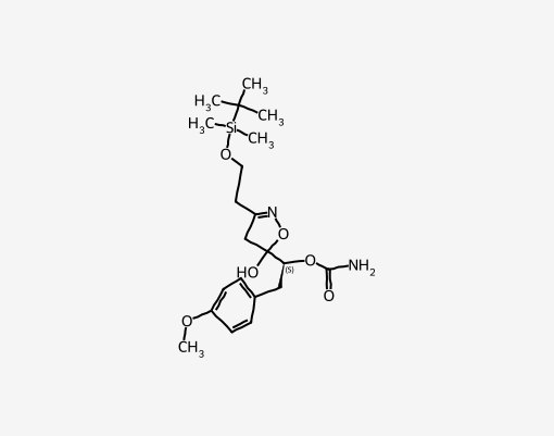 COc1ccc(C[C@H](OC(N)=O)C2(O)CC(CCO[Si](C)(C)C(C)(C)C)=NO2)cc1